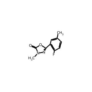 Cc1ccc(F)c(-c2nn(C)c(=O)o2)c1